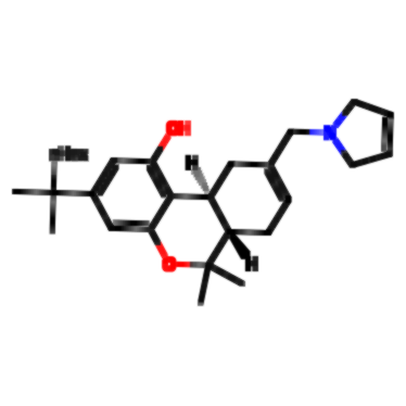 CCCCCCC(C)(C)c1cc(O)c2c(c1)OC(C)(C)[C@H]1CC=C(CN3CC=CC3)C[C@H]21